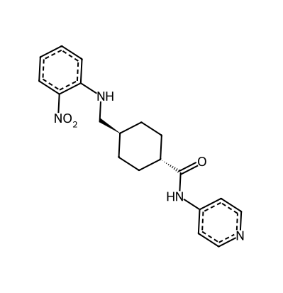 O=C(Nc1ccncc1)[C@H]1CC[C@H](CNc2ccccc2[N+](=O)[O-])CC1